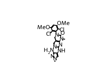 COc1cc(OC)c(Cl)c(N2Cc3cnc(Nc4cn(C)nc4N)nc3N(C)C2=O)c1Cl